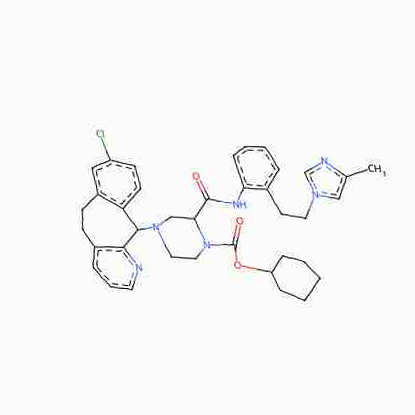 Cc1cn(CCc2ccccc2NC(=O)C2CN(C3c4ccc(Cl)cc4CCc4cccnc43)CCN2C(=O)OC2CCCCC2)cn1